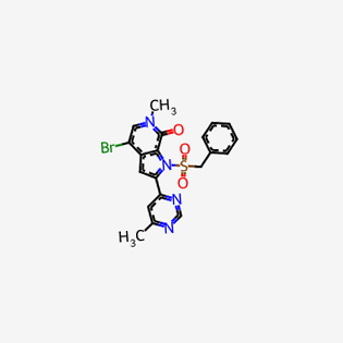 Cc1cc(-c2cc3c(Br)cn(C)c(=O)c3n2S(=O)(=O)Cc2ccccc2)ncn1